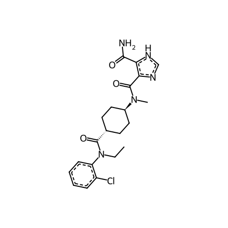 CCN(c1ccccc1Cl)C(=O)[C@H]1CC[C@H](N(C)C(=O)c2nc[nH]c2C(N)=O)CC1